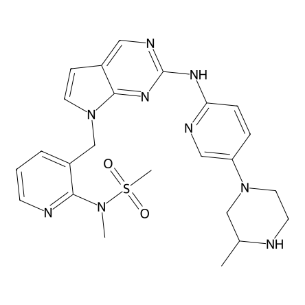 CC1CN(c2ccc(Nc3ncc4ccn(Cc5cccnc5N(C)S(C)(=O)=O)c4n3)nc2)CCN1